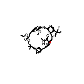 CCOP1(=O)Cc2ccc(c(OC)c2)Nc2ncc(C(F)(F)F)c(n2)Nc2ccc(nc2C(=O)NC)-c2cnn(c2)CC(C)(C)CO1